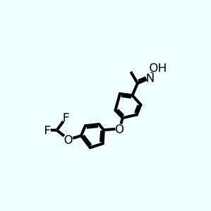 C/C(=N\O)c1ccc(Oc2ccc(OC(F)F)cc2)cc1